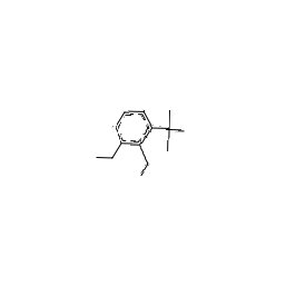 CCc1[c]ccc(C(C)(C)C)c1CC